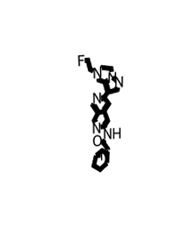 O=C(CN1C2CCC1CC2)Nc1cc2cc(-c3cnn4c3CN(CCF)CC4)ncc2cn1